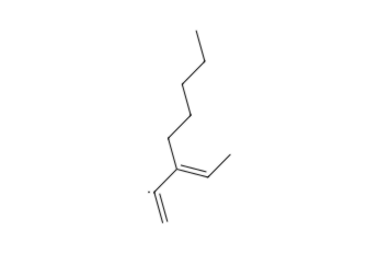 C=[C]C(=CC)CCCCC